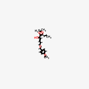 CCC[C@@H]1OC(C)(C)OC1C(O)C=CCCOCc1ccc(OC)cc1